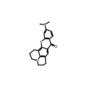 CN(C)c1ccc2c(=O)c3cc4c5c(c3sc2c1)CCCN5CCC4